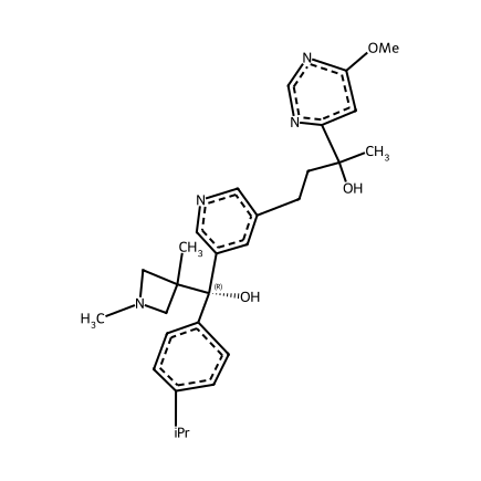 COc1cc(C(C)(O)CCc2cncc([C@@](O)(c3ccc(C(C)C)cc3)C3(C)CN(C)C3)c2)ncn1